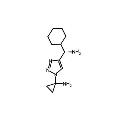 N[C@H](c1cn(C2(N)CC2)nn1)C1CCCCC1